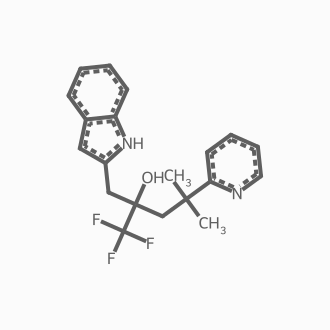 CC(C)(CC(O)(Cc1cc2ccccc2[nH]1)C(F)(F)F)c1ccccn1